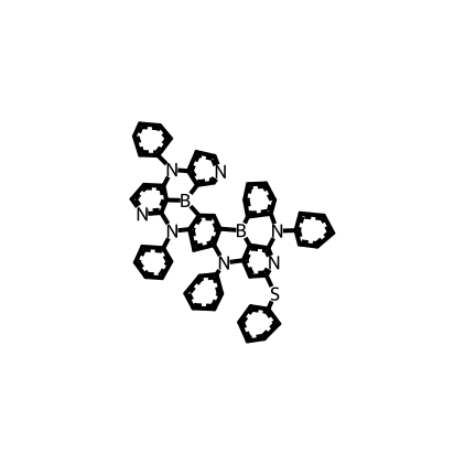 c1ccc(Sc2cc3c4c(n2)N(c2ccccc2)c2ccccc2B4c2cc4c(cc2N3c2ccccc2)N(c2ccccc2)c2nccc3c2B4c2cnccc2N3c2ccccc2)cc1